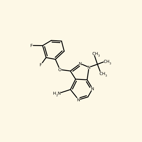 CC(C)(C)n1nc(Oc2cccc(F)c2F)c2c(N)ncnc21